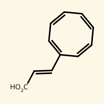 O=C(O)C=CC1=CC=CC=CC=C1